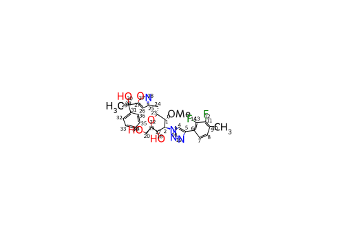 CO[C@@H]1[C@@H](n2cc(-c3ccc(C)c(F)c3F)nn2)[C@@H](O)[C@@H](CO)O[C@@H]1Cc1cc(C(C)(O)c2ccccc2)on1